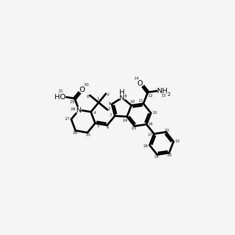 CC(C)(C)C1C(=Cc2c[nH]c3c(C(N)=O)cc(-c4ccccc4)cc23)CCCN1C(=O)O